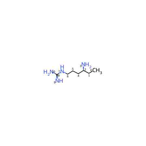 CC[C@H](N)CCCNC(=N)N